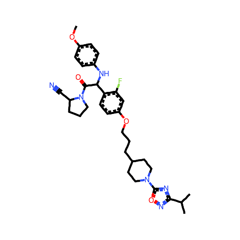 COc1ccc(NC(C(=O)N2CCCC2C#N)c2ccc(OCCCC3CCN(c4nc(C(C)C)no4)CC3)cc2F)cc1